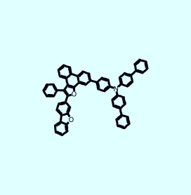 c1ccc(-c2ccc(N(c3ccc(-c4ccccc4)cc3)c3ccc(-c4ccc5c6ccccc6c6c(-c7ccccc7)c(-c7ccc8c(c7)oc7ccccc78)oc6c5c4)cc3)cc2)cc1